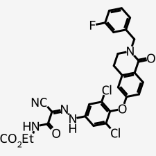 CCOC(=O)NC(=O)C(C#N)=NNc1cc(Cl)c(Oc2ccc3c(c2)CCN(Cc2cccc(F)c2)C3=O)c(Cl)c1